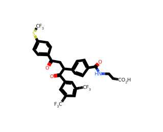 O=C(O)CCNC(=O)c1ccc(C(CC(=O)c2ccc(SC(F)(F)F)cc2)C(=O)c2cc(C(F)(F)F)cc(C(F)(F)F)c2)cc1